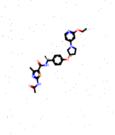 CCOc1cc(N2CC[C@@H](Oc3ccc([C@H](C)NC(=O)c4sc(NC(C)=O)nc4C)cc3)C2)ccn1